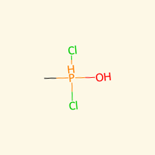 C[PH](O)(Cl)Cl